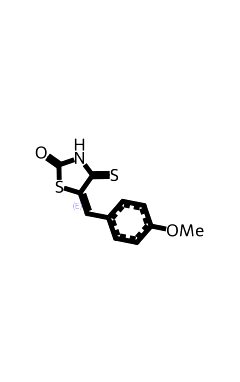 COc1ccc(/C=C2/SC(=O)NC2=S)cc1